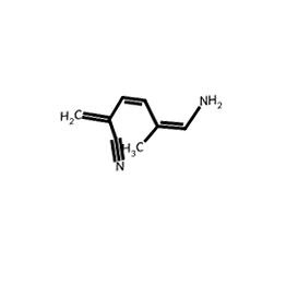 C=C(C#N)/C=C\C(C)=C/N